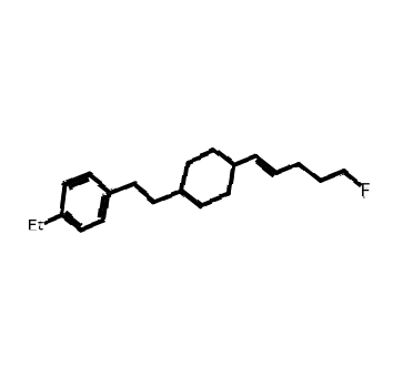 CCc1ccc(CCC2CCC(C=CCCCF)CC2)cc1